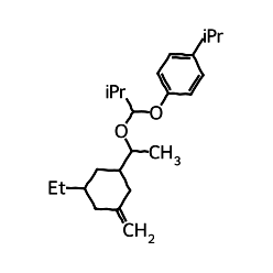 C=C1CC(CC)CC(C(C)OC(Oc2ccc(C(C)C)cc2)C(C)C)C1